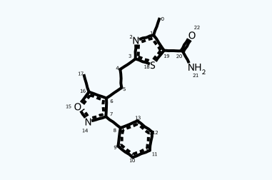 Cc1nc(CCc2c(-c3ccccc3)noc2C)sc1C(N)=O